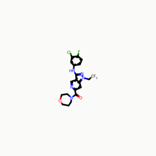 O=C(c1cc2c(cn1)c(Nc1ccc(F)c(Cl)c1)nn2CC(F)(F)F)N1CCCOCC1